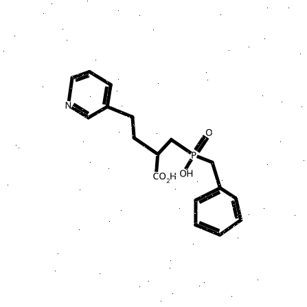 O=C(O)C(CCc1cccnc1)CP(=O)(O)Cc1ccccc1